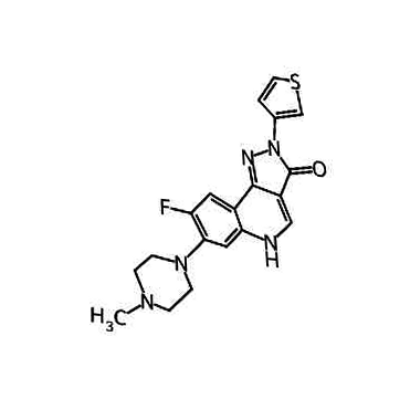 CN1CCN(c2cc3[nH]cc4c(=O)n(-c5ccsc5)nc-4c3cc2F)CC1